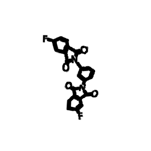 O=C1c2ccc(F)cc2C(=O)N1c1cccc(N2C(=O)c3ccc(F)cc3C2=O)c1